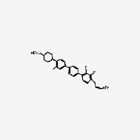 CCC/C=C\Cc1ccc(-c2ccc(-c3ccc(C4CCC(CCCCCCCCCC)CC4)c(F)c3)cc2)c(F)c1F